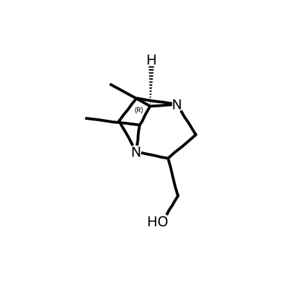 CC1[C@@H](C)N2CCN1C(CO)C2